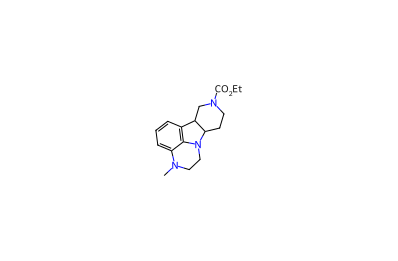 CCOC(=O)N1CCC2C(C1)c1cccc3c1N2CCN3C